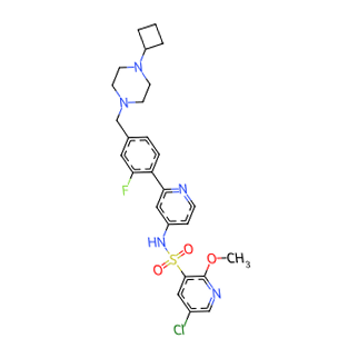 COc1ncc(Cl)cc1S(=O)(=O)Nc1ccnc(-c2ccc(CN3CCN(C4CCC4)CC3)cc2F)c1